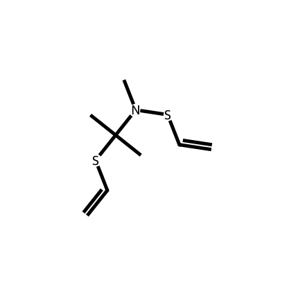 C=CSN(C)C(C)(C)SC=C